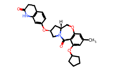 Cc1cc2c(c(OC3CCCC3)c1)C(=O)N1C[C@@H](Oc3ccc4c(c3)NC(=O)CC4)C[C@@H]1CO2